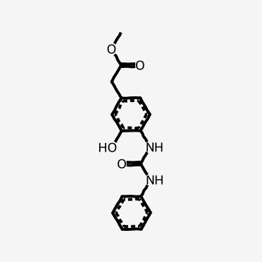 COC(=O)Cc1ccc(NC(=O)Nc2ccccc2)c(O)c1